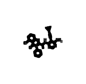 CC(Nc1ncnc(N)c1C#CC1CC1)c1nc2cccc(Cl)c2c(=O)n1-c1ccccc1